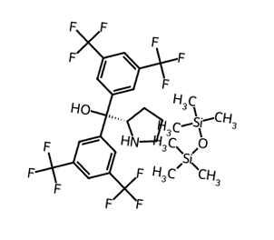 C[Si](C)(C)O[Si](C)(C)C.OC(c1cc(C(F)(F)F)cc(C(F)(F)F)c1)(c1cc(C(F)(F)F)cc(C(F)(F)F)c1)[C@@H]1CCCN1